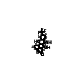 N=C(C1=CC=C(C(F)(F)F)CC1)/C(=C(\O)c1cccc(Cl)c1)C(O)c1cccnc1